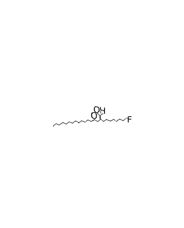 CCCCCCCCCCCCCCCC(CCCCCCCCF)=C(C)C(=O)O